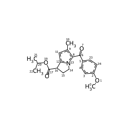 COc1ccc(C(=O)c2c(C)cc3n2CCC3C(=O)OC(C)C)cc1